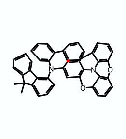 CC1(C)c2ccccc2-c2c(N(c3cc4c5c(c3)c3cccc6c3n5-c3c(cccc3O4)O6)c3ccccc3-c3ccccc3)cccc21